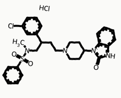 CN(CC(CCN1CCC(n2c(=O)[nH]c3ccccc32)CC1)c1cccc(Cl)c1)S(=O)(=O)c1ccccc1.Cl